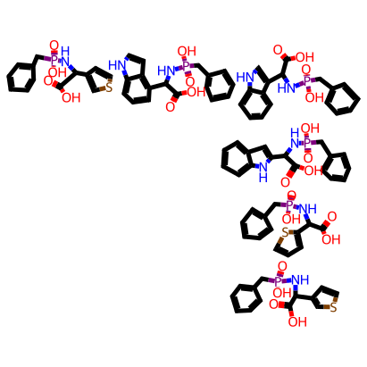 O=C(O)C(NP(=O)(O)Cc1ccccc1)c1c[nH]c2ccccc12.O=C(O)C(NP(=O)(O)Cc1ccccc1)c1cc2ccccc2[nH]1.O=C(O)C(NP(=O)(O)Cc1ccccc1)c1cccc2[nH]ccc12.O=C(O)C(NP(=O)(O)Cc1ccccc1)c1cccs1.O=C(O)C(NP(=O)(O)Cc1ccccc1)c1ccsc1.O=C(O)C(NP(=O)(O)Cc1ccccc1)c1ccsc1